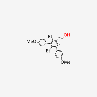 CCc1c(CCO)[c]c(-c2ccc(OC)cc2)c(CC)c1-c1ccc(OC)cc1